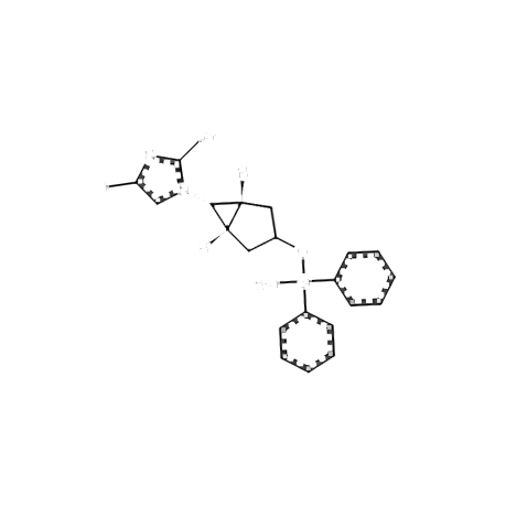 CC(C)c1nc(I)cn1[C@@H]1[C@@H]2CC(O[Si](c3ccccc3)(c3ccccc3)C(C)(C)C)C[C@@H]21